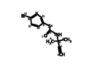 C#CC(C)(C)NC(=O)Sc1ccc(Br)cc1